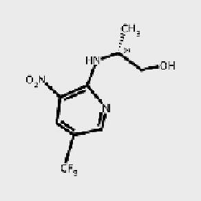 C[C@H](CO)Nc1ncc(C(F)(F)F)cc1[N+](=O)[O-]